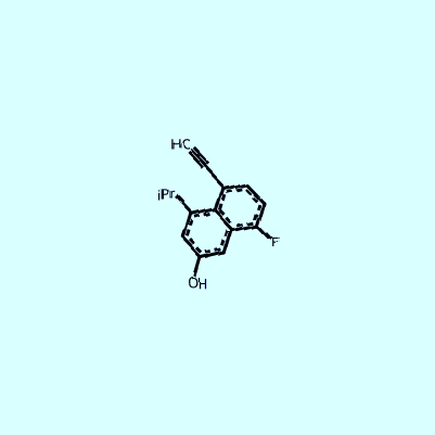 C#Cc1ccc(F)c2cc(O)cc(C(C)C)c12